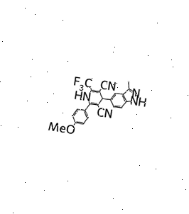 COc1ccc(C2=C(C#N)C(c3ccc4[nH]nc(C)c4c3)C(C#N)=C(C(F)(F)F)N2)cc1